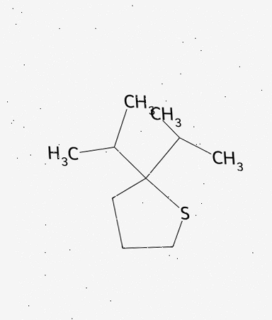 CC(C)C1(C(C)C)CCCS1